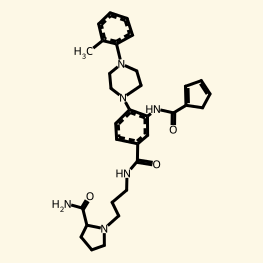 Cc1ccccc1N1CCN(c2ccc(C(=O)NCCCN3CCCC3C(N)=O)cc2NC(=O)C2=CC=CC2)CC1